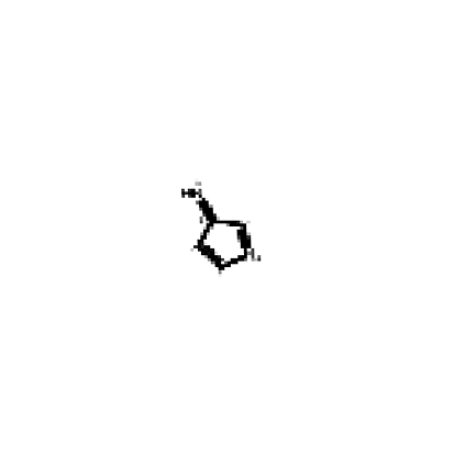 N=C1C=CN=C1